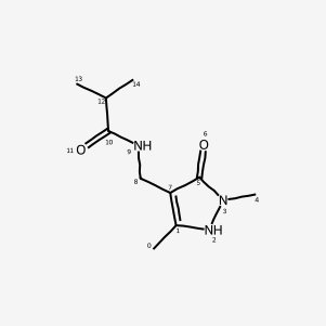 Cc1[nH]n(C)c(=O)c1CNC(=O)C(C)C